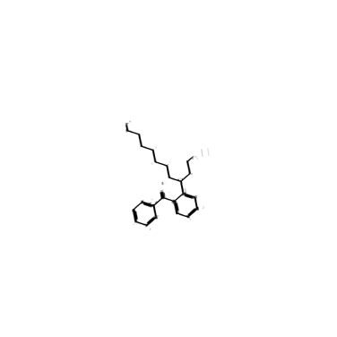 CCCCCCCCC(CCC)c1ccccc1C(=O)c1ccccc1